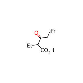 CCC(C(=O)O)C(=O)CC(C)C